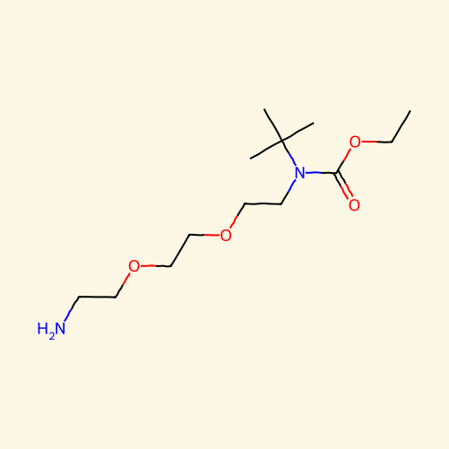 CCOC(=O)N(CCOCCOCCN)C(C)(C)C